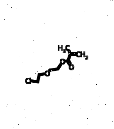 C=C(C)C(=O)OCCOCCCl